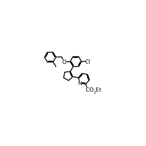 CCOC(=O)c1cccc(C2=C(c3cc(Cl)ccc3OCc3ccccc3C)CCC2)n1